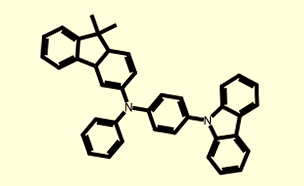 CC1(C)c2ccccc2C2C=C(N(c3ccccc3)c3ccc(-n4c5ccccc5c5ccccc54)cc3)C=CC21